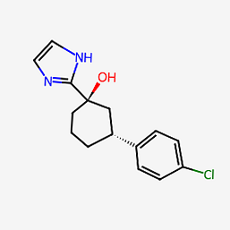 O[C@]1(c2ncc[nH]2)CCC[C@@H](c2ccc(Cl)cc2)C1